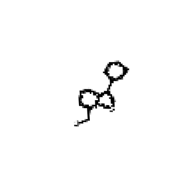 ClCc1cccc2c(-c3ccccc3)coc12